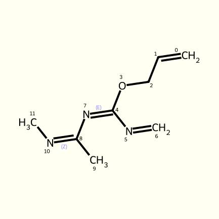 C=CCO/C(N=C)=N/C(C)=N\C